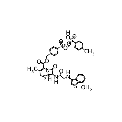 CC1=C(C(=O)OCc2ccc([N+](=O)[O-])cc2)N2C(=O)C(NC(=O)CNc3csc4ccccc34)[C@@H]2SC1.Cc1ccc(S(=O)(=O)O)cc1.O